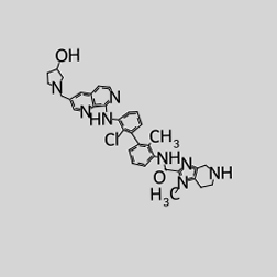 Cc1c(NC(=O)c2nc3c(n2C)CCNC3)cccc1-c1cccc(Nc2nccc3cc(CN4CCC(O)C4)cnc23)c1Cl